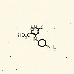 C/C(C(=O)O)=C(\C=C(/N)Cl)N[C@H]1CC[C@@H](N)CC1